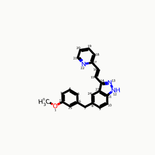 COc1cccc(Cc2ccc3[nH]nc(C=Cc4ccccn4)c3c2)c1